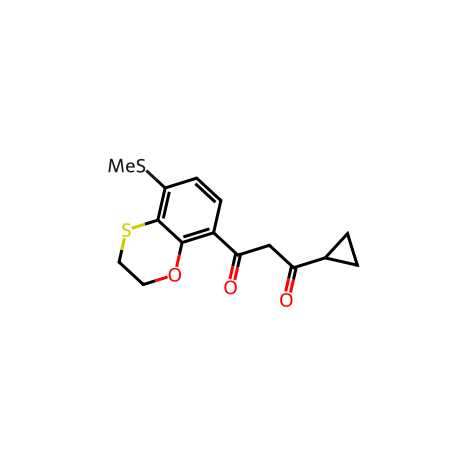 CSc1ccc(C(=O)CC(=O)C2CC2)c2c1SCCO2